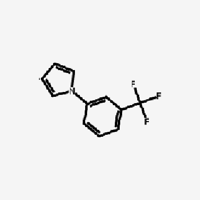 FC(F)(F)c1cccc(-n2c[c]cc2)c1